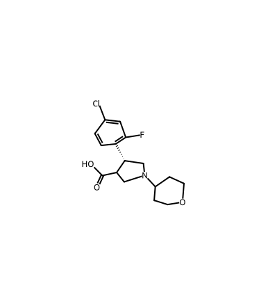 O=C(O)C1CN(C2CCOCC2)C[C@H]1c1ccc(Cl)cc1F